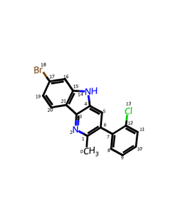 Cc1nc2c(cc1-c1ccccc1Cl)[nH]c1cc(Br)ccc12